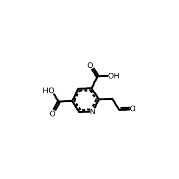 O=CCc1ncc(C(=O)O)cc1C(=O)O